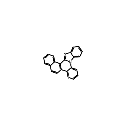 c1ccc2c(c1)ccc1c3ncccc3n3c4ccccc4nc3c21